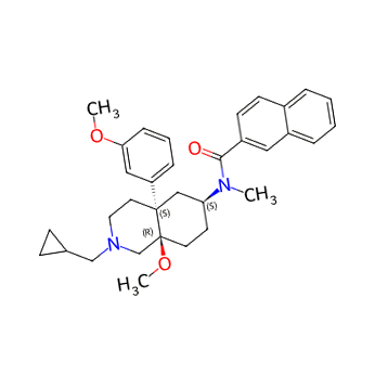 COc1cccc([C@@]23CCN(CC4CC4)C[C@@]2(OC)CC[C@H](N(C)C(=O)c2ccc4ccccc4c2)C3)c1